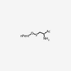 CCCCCOSC[C@H](N)C(C)=O